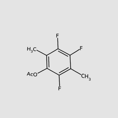 CC(=O)Oc1c(C)c(F)c(F)c(C)c1F